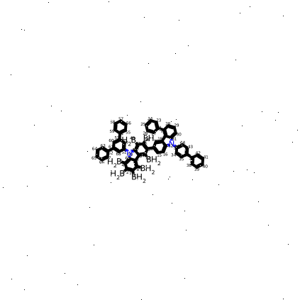 Bc1c(B)c(B)c2c(c1B)c1c(B)c(-c3ccc4c(c3)c3c(-c5ccccc5)cccc3n4-c3ccc(-c4ccccc4)cc3)c(B)c(B)c1n2-c1cc(-c2ccccc2)cc(-c2ccccc2)c1